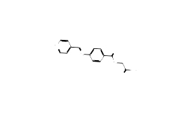 O=C(O)CNC(=O)c1ccc(/N=C/c2ccncc2)cc1